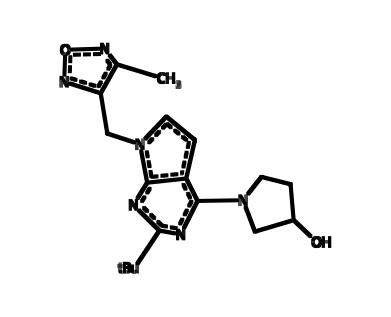 Cc1nonc1Cn1ccc2c(N3CCC(O)C3)nc(C(C)(C)C)nc21